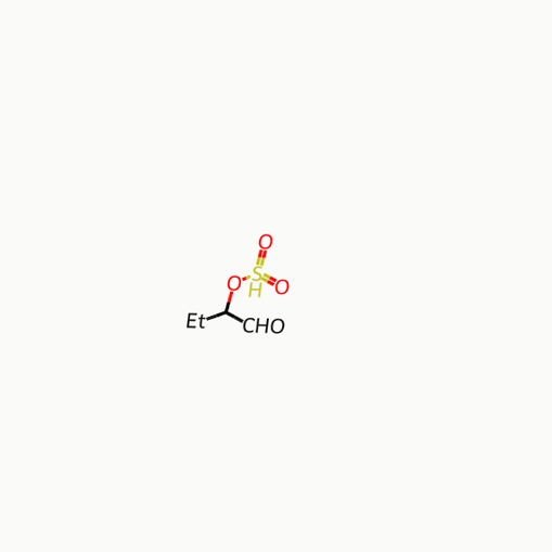 CCC(C=O)O[SH](=O)=O